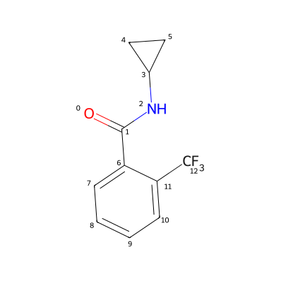 O=C(NC1CC1)c1ccccc1C(F)(F)F